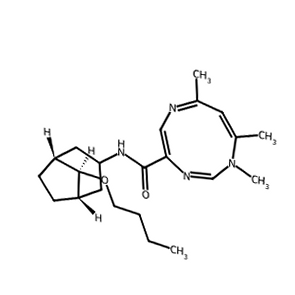 CCCCO[C@@H]1[C@@H]2CC[C@H]1CC(NC(=O)c1cnc(C)cc(C)n(C)cn1)C2